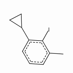 Cc1cccc(C2CC2)c1I